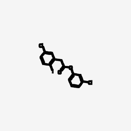 O=C(Cc1cc(Cl)ccc1I)Oc1cccc(Cl)c1